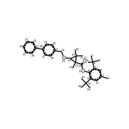 Cc1cc(C(C)(C)C)c(OC(=O)C2(C)C(OCc3ccc(-c4ccccc4)cc3)C2(C)C)c(C(C)(C)C)c1